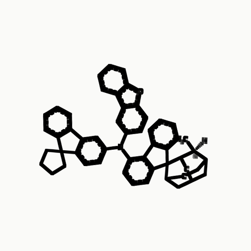 C[C@H]1C2CCC3CC(C2)CC1C31c2ccccc2-c2c(N(c3ccc4c(c3)-c3ccccc3C43CCCC3)c3ccc4oc5ccccc5c4c3)cccc21